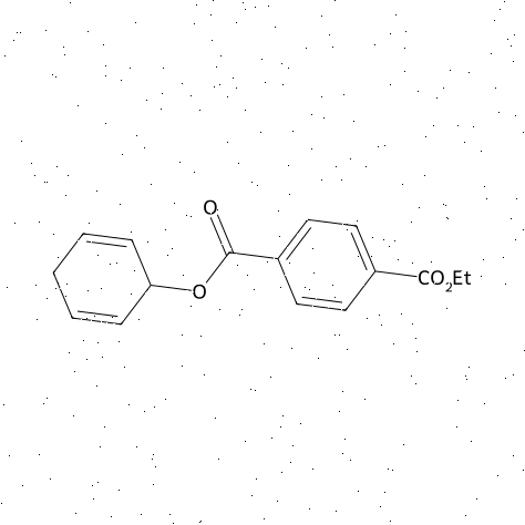 CCOC(=O)c1ccc(C(=O)OC2C=CCC=C2)cc1